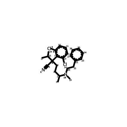 CC(CCC(C#N)(c1c(Cl)cccc1Cl)C(C)C)N(C)CCc1ccccc1